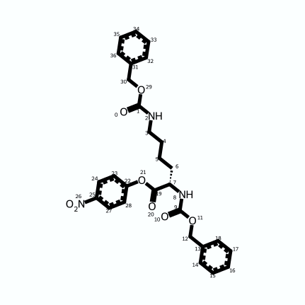 O=C(NCCCC[C@H](NC(=O)OCc1ccccc1)C(=O)Oc1ccc([N+](=O)[O-])cc1)OCc1ccccc1